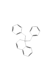 C1=Cc2ccccc2C(Cc2ccccc2)(Cc2ccccc2)C1